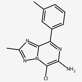 Cc1cccc(-c2nc(N)c(Cl)n3nc(C)nc23)c1